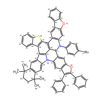 CC(C)(C)c1ccc(N2B3c4cc5oc(-c6ccccc6)c(-c6ccccc6)c5cc4-n4c5cc6c(cc5c5c7c(sc8ccccc87)c(c3c54)-c3cc4c(cc32)oc2ccccc24)C(C)(C)CCC6(C)C)cc1